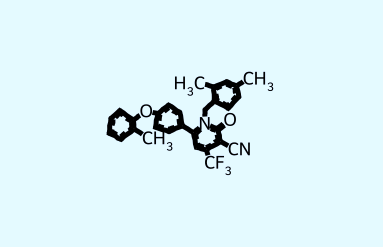 Cc1ccc(Cn2c(-c3ccc(Oc4ccccc4C)cc3)cc(C(F)(F)F)c(C#N)c2=O)c(C)c1